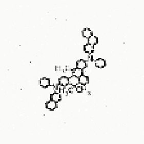 Cc1c2c3c(cccc3c3cc(N(c4ccccc4)c4ccc5c(ccc6ccccc65)c4)ccc13)C(C)(C)c1cc(N(c3ccccc3)c3ccc4ccccc4c3)ccc1-2